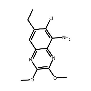 CCc1cc2nc(OC)c(OC)nc2c(N)c1Cl